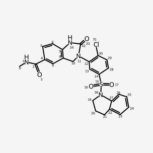 CNC(=O)c1ccc2c(c1)CN(c1cc(S(=O)(=O)N3CCCc4ccccc43)ccc1Cl)C(=O)N2